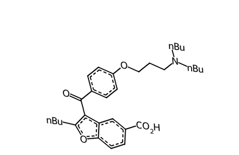 CCCCc1oc2ccc(C(=O)O)cc2c1C(=O)c1ccc(OCCCN(CCCC)CCCC)cc1